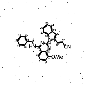 COc1cccc2c(NCc3ccccc3)nc(-n3c(C=CC#N)cc4ccccc43)nc12